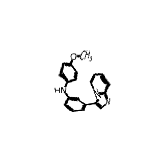 COc1ccc(Nc2cccc(-c3cnc4ccccn34)c2)cc1